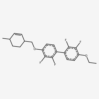 CCOc1ccc(-c2ccc(OCC3C=CC(C)CC3)c(F)c2F)c(F)c1F